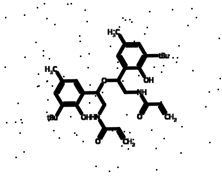 C=CC(=O)NCC(OC(CNC(=O)C=C)c1cc(C)cc(C(C)(C)C)c1O)c1cc(C)cc(C(C)(C)C)c1O